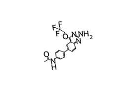 CC(=O)Nc1ccc(-c2ccc3nc(N)nc(OCC(F)(F)F)c3c2)cc1